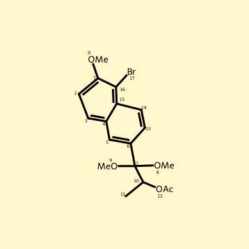 COc1ccc2cc(C(OC)(OC)C(C)OC(C)=O)ccc2c1Br